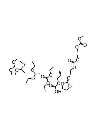 C=CCOC(=O)O.CCOC(=O)OC.CCOC(=O)OCC.CCOC(C)OCC.COC(=O)OC.COC(C)OC.COCOC.O=C1OCCO1